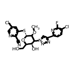 COC1C(n2cc(-c3ccc(Cl)c(F)n3)nn2)[C@@H](O)C(CO)O[C@@H]1Sc1cc(Cl)cnc1C#N